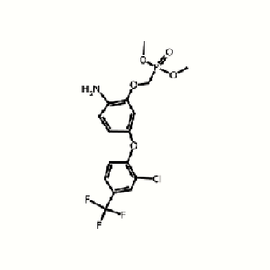 COP(=O)(COc1cc(Oc2ccc(C(F)(F)F)cc2Cl)ccc1N)OC